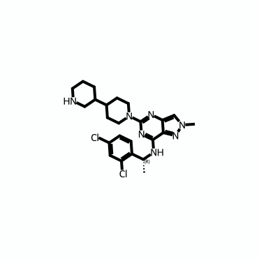 C[C@@H](Nc1nc(N2CCC(C3CCCNC3)CC2)nc2cn(C)nc12)c1ccc(Cl)cc1Cl